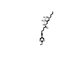 CCCCN(N)/C=C(\N)CNC(=O)CCCC#Cc1cnc(SC)nc1